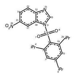 CC(C)c1cc(C(C)C)c(S(=O)(=O)n2cnc3ccc([N+](=O)[O-])cc32)c(C(C)C)c1